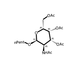 CCCCCO[C@H]1O[C@H](COC(C)=O)[C@H](OC(C)=O)[C@H](OC(C)=O)[C@H]1NC(C)=O